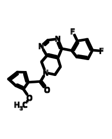 COc1ccccc1C(=O)N1CCc2c(ncnc2-c2ccc(F)cc2F)C1